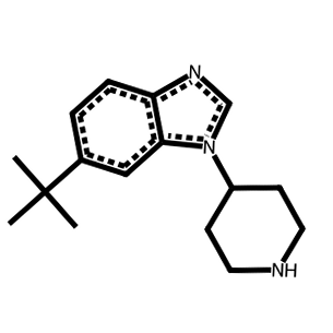 CC(C)(C)c1ccc2ncn(C3CCNCC3)c2c1